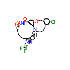 O=C1NS(=O)(=O)CCCCC[C@H](NCC(F)(F)F)[C@@H]2CC[C@H]2CN2CCCCc3cc(Cl)ccc3COc3ccc1cc32